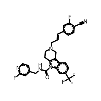 N#Cc1ccc(/C=C/CN2CCc3c(c4ccc(C(F)(F)F)cc4n3C(=O)NCc3ccnc(F)c3)C2)cc1F